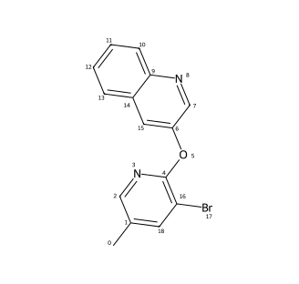 Cc1cnc(Oc2cnc3ccccc3c2)c(Br)c1